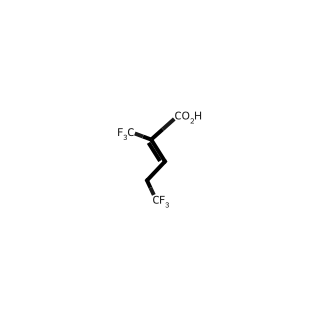 O=C(O)C(=CCC(F)(F)F)C(F)(F)F